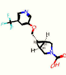 O=C(O)N1C[C@@H]2[C@@H](COc3cncc(C(F)(F)F)c3)[C@@H]2C1